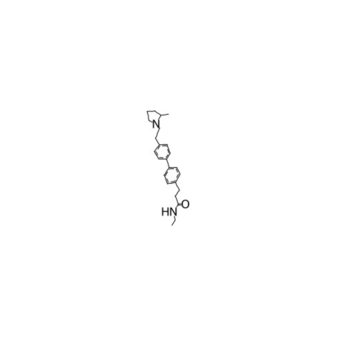 CCNC(=O)CCc1ccc(-c2ccc(CCN3CCCC3C)cc2)cc1